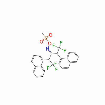 CS(=O)(=O)ON=C(C(c1cccc2ccccc12)C(F)(F)F)C(c1cccc2ccccc12)C(F)(F)F